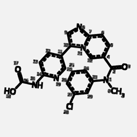 CN(C(=O)c1ccc2ncc(-c3ccc(NC(=O)O)nc3)n2c1)c1cccc(Cl)c1